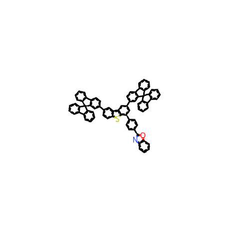 c1ccc2c(c1)-c1ccccc1C21c2ccccc2-c2ccc(-c3ccc4sc5c(-c6ccc(-c7nc8ccccc8o7)cc6)cc(-c6ccc7c(c6)C6(c8ccccc8-c8ccccc86)c6ccccc6-7)cc5c4c3)cc21